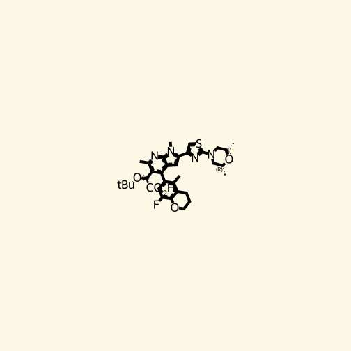 Cc1nc2c(cc(-c3csc(N4C[C@@H](C)O[C@@H](C)C4)n3)n2C)c(-c2cc(F)c3c(c2C)CCCO3)c1[C@H](OC(C)(C)C)C(=O)O